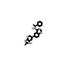 Cc1nc2ncc(-c3ccc4ncnc(NC(C)c5ccccc5)c4c3)cc2[nH]1